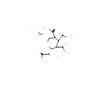 CC(C)(C)C(=O)C(O)[C@H]1O[C@H](OCC(=O)O)[C@@](O)(C(=O)C(C)(C)C)[C@](O)(C(=O)C(C)(C)C)[C@@]1(O)C(=O)C(C)(C)C